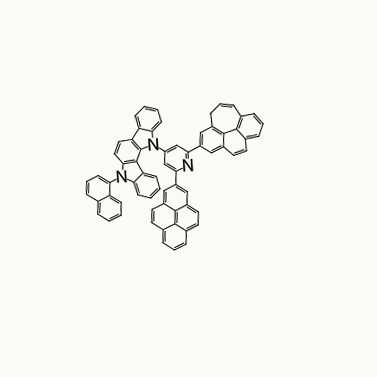 C1=Cc2cccc3ccc4cc(-c5cc(-n6c7ccccc7c7ccc8c(c9ccccc9n8-c8cccc9ccccc89)c76)cc(-c6cc7ccc8cccc9ccc(c6)c7c89)n5)cc(c4c23)C1